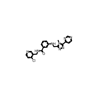 Cn1c(CNc2cccc(C(=O)NCc3cnccc3Cl)c2)nnc1-c1ccncn1